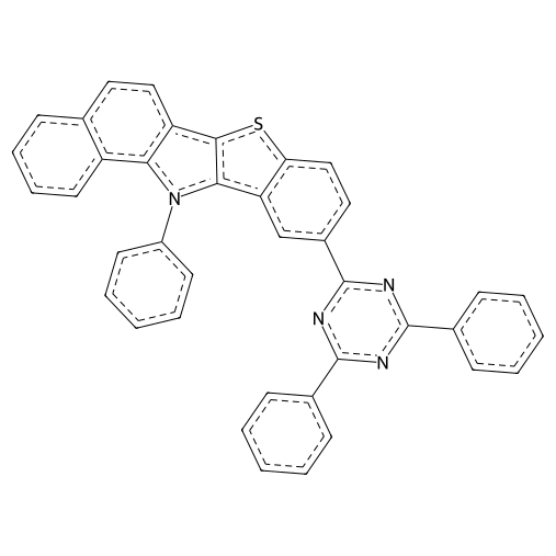 c1ccc(-c2nc(-c3ccccc3)nc(-c3ccc4sc5c6ccc7ccccc7c6n(-c6ccccc6)c5c4c3)n2)cc1